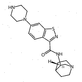 O=C(N[C@@H]1CN2CCC1CC2)c1nsc2cc(N3CCNCC3)ccc12